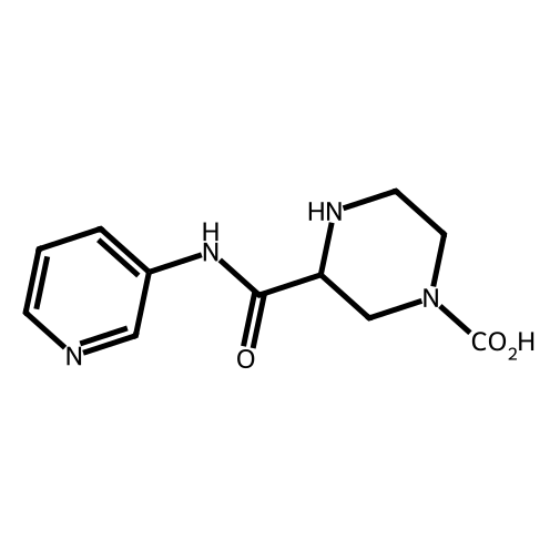 O=C(Nc1cccnc1)C1CN(C(=O)O)CCN1